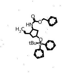 C=CC1CC(O[Si](c2ccccc2)(c2ccccc2)C(C)(C)C)CC1NC(=O)OCc1ccccc1